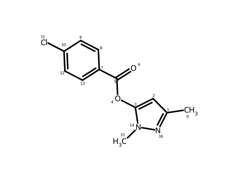 Cc1cc(OC(=O)c2ccc(Cl)cc2)n(C)n1